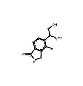 COC(CO)c1ccc2c(c1C)COC2=O